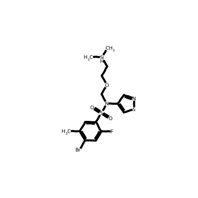 Cc1cc(S(=O)(=O)N(COCC[SiH](C)C)c2cnsc2)c(F)cc1Br